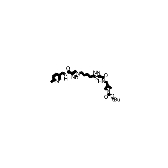 Cc1ccc(CNC(=O)c2cn(CCCCc3nnc(C(=O)NCC4CN(C(=O)OC(C)(C)C)C4)s3)nn2)cn1